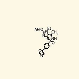 CCn1c(OC)nnc1[C@@H](C)NS(=O)(=O)c1ccc(-c2cnco2)cc1